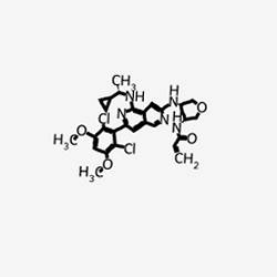 C=CC(=O)N[C@H]1COC[C@H]1Nc1cc2c(N[C@@H](C)C3CC3)nc(-c3c(Cl)c(OC)cc(OC)c3Cl)cc2cn1